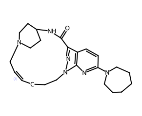 O=C1NC2CCN(C/C=C\CCCn3nc1c1ccc(N4CCCCCC4)nc13)CC2